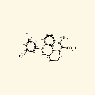 NNC(C(=O)O)N1CCCC(OCc2cc(C(F)(F)F)cc(C(F)(F)F)c2)C1c1ccccc1